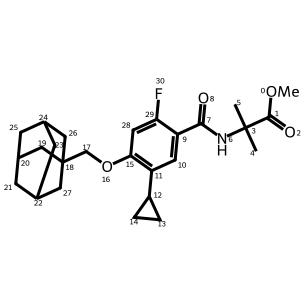 COC(=O)C(C)(C)NC(=O)c1cc(C2CC2)c(OCC23CC4CC(CC(C4)C2)C3)cc1F